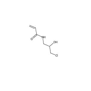 C=CC(=O)NCC(O)CCl